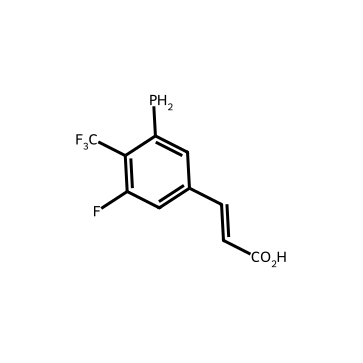 O=C(O)/C=C/c1cc(F)c(C(F)(F)F)c(P)c1